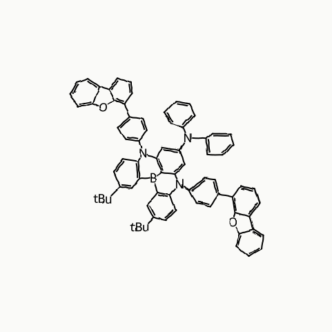 CC(C)(C)c1ccc2c(c1)B1c3cc(C(C)(C)C)ccc3N(c3ccc(-c4cccc5c4oc4ccccc45)cc3)c3cc(N(c4ccccc4)c4ccccc4)cc(c31)N2c1ccc(-c2cccc3c2oc2ccccc23)cc1